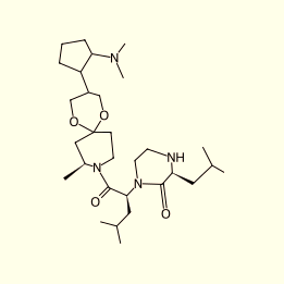 CC(C)C[C@@H]1NCCN([C@@H](CC(C)C)C(=O)N2CCC3(C[C@@H]2C)OCC(C2CCCC2N(C)C)CO3)C1=O